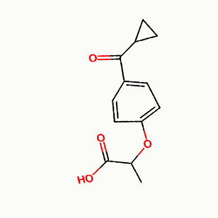 CC(Oc1ccc(C(=O)C2CC2)cc1)C(=O)O